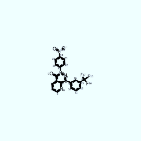 O=c1c2cccnc2c(-c2cccc(C(F)(F)F)c2)nn1-c1ccc([N+](=O)[O-])cc1